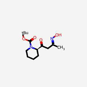 CC(CC(=O)[C@H]1CCCCN1C(=O)OC(C)(C)C)=NO